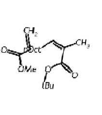 C=CC(=O)OC.CCCCCCCCC=C(C)C(=O)OC(C)(C)C